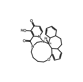 O=C1c2c(O)c(=O)ccn2N2CN1CCCCOC1=CC=CC3CCC4C=CC=CC4[C@@H]2C13